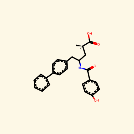 C[C@H](CC(Cc1ccc(-c2ccccc2)cc1)NC(=O)c1ccc(O)cc1)C(=O)O